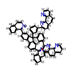 c1cc(-c2ccc3ccc4cccnc4c3n2)cc(C2(c3cccc(-c4ccc5ccc6cccnc6c5n4)c3)c3cc(-c4nccc5ccccc45)ccc3-c3ccc(-c4nccc5ccccc45)cc32)c1